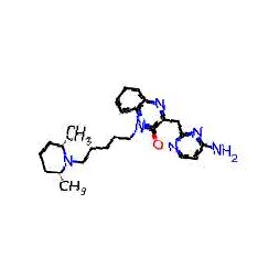 C[C@@H]1CCC[C@H](C)N1CCCCCn1c(=O)c(Cc2nccc(N)n2)nc2ccccc21